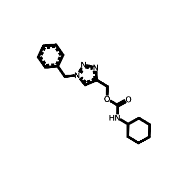 O=C(NC1CCCCC1)OCc1cn(Cc2ccccc2)nn1